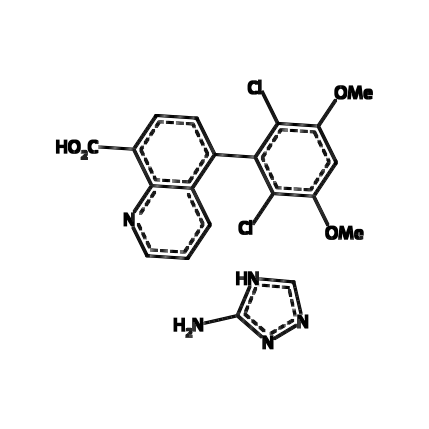 COc1cc(OC)c(Cl)c(-c2ccc(C(=O)O)c3ncccc23)c1Cl.Nc1nnc[nH]1